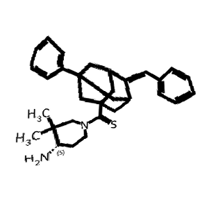 CC1(C)CN(C(=S)C23CC4CC(c5ccccc5)(CC(C2)C4=Cc2ccccc2)C3)CC[C@@H]1N